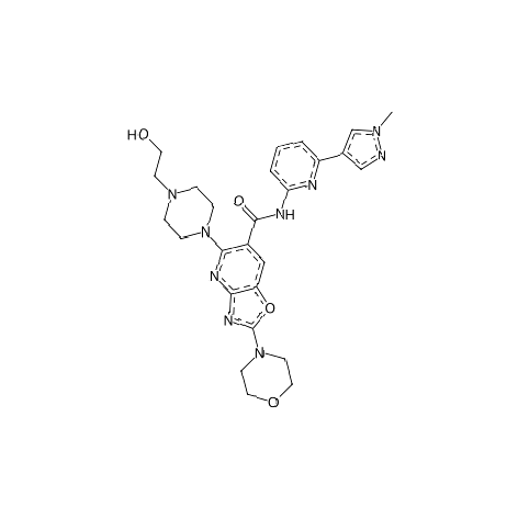 Cn1cc(-c2cccc(NC(=O)c3cc4oc(N5CCOCC5)nc4nc3N3CCN(CCO)CC3)n2)cn1